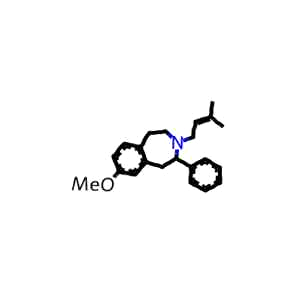 COc1ccc2c(c1)CC(c1ccccc1)N(CC=C(C)C)CC2